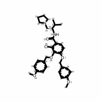 COc1ccc(COc2ccc(C(=O)N[C@H](CN3CCCC3)C(C)C)c(Cl)c2OCc2ccc(OC)cc2)cc1